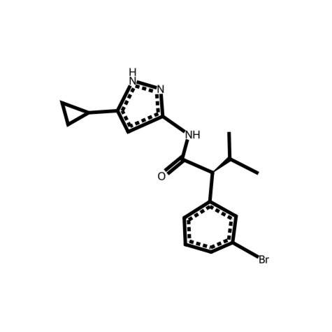 CC(C)[C@H](C(=O)Nc1cc(C2CC2)[nH]n1)c1cccc(Br)c1